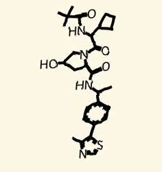 Cc1ncsc1-c1ccc(C(C)NC(=O)C2CC(O)CN2C(=O)C(NC(=O)C(C)(C)C)C2CCC2)cc1